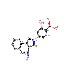 Cc1ccccc1-c1cn(-c2ccc(C(=O)O)c(O)c2)cc1C#N